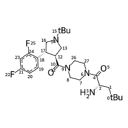 CC(C)(C)C[C@H](N)C(=O)N1CCN(C(=O)[C@@H]2CN(C(C)(C)C)C[C@H]2c2ccc(F)cc2F)CC1